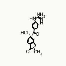 CN1Cc2cc(OC(=O)c3ccc(NC(=N)N)cc3)ccc2C1=O.Cl